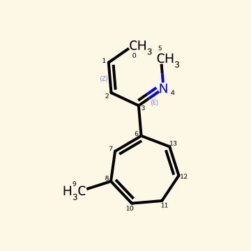 C/C=C\C(=N/C)C1=CC(C)=CCC=C1